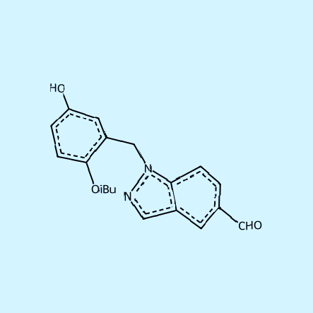 CC(C)COc1ccc(O)cc1Cn1ncc2cc(C=O)ccc21